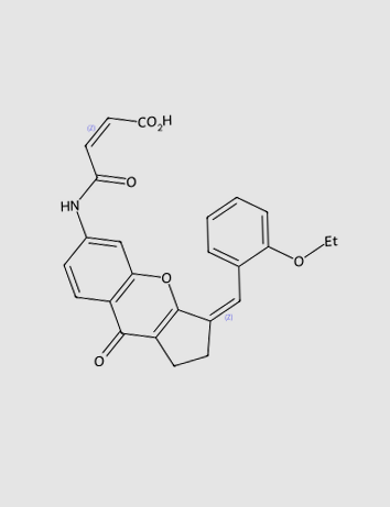 CCOc1ccccc1/C=C1/CCc2c1oc1cc(NC(=O)/C=C\C(=O)O)ccc1c2=O